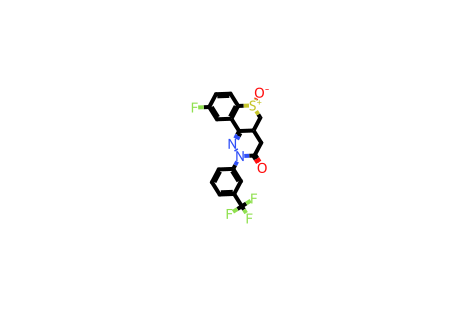 O=C1CC2C[S+]([O-])c3ccc(F)cc3C2=NN1c1cccc(C(F)(F)F)c1